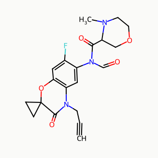 C#CCN1C(=O)C2(CC2)Oc2cc(F)c(N(C=O)C(=O)C3COCCN3C)cc21